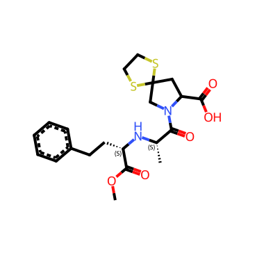 COC(=O)[C@H](CCc1ccccc1)N[C@@H](C)C(=O)N1CC2(CC1C(=O)O)SCCS2